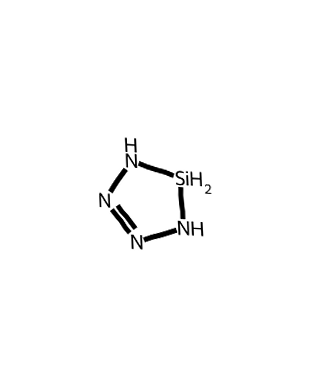 N1=NN[SiH2]N1